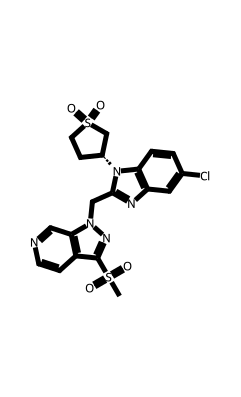 CS(=O)(=O)c1nn(Cc2nc3cc(Cl)ccc3n2[C@@H]2CCS(=O)(=O)C2)c2cnccc12